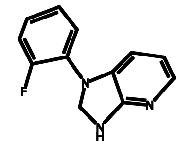 Fc1ccccc1N1CNc2ncccc21